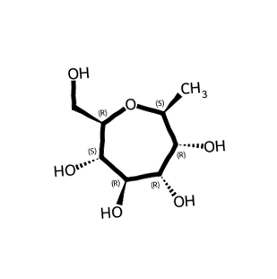 C[C@@H]1O[C@H](CO)[C@@H](O)[C@H](O)[C@@H](O)[C@H]1O